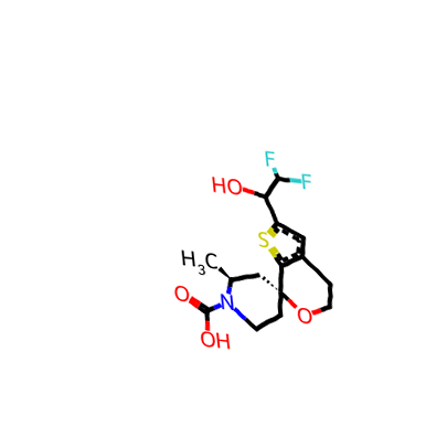 C[C@H]1C[C@@]2(CCN1C(=O)O)OCCc1cc(C(O)C(F)F)sc12